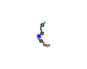 O=C(O)COc1ccc(Cn2nnc(-c3cccc(C#CCc4ccc(F)cc4)c3)n2)cc1